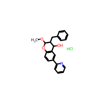 COC1Oc2ccc(-c3ccccn3)cc2C(O)C1Cc1ccccc1.Cl